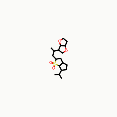 CC(C)C1CCC2CC(CC(C)C3COC4CCOC43)S(=O)(=O)C21